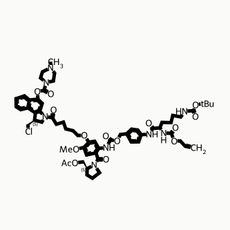 C=CCOC(=O)NC(CCCCNC(=O)OC(C)(C)C)C(=O)Nc1ccc(COC(=O)Nc2cc(OCCCCCC(=O)N3C[C@@H](CCl)c4c3cc(OC(=O)N3CCN(C)CC3)c3ccccc43)c(OC)cc2C(=O)N2CCC[C@H]2COC(C)=O)cc1